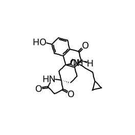 O=C1CC(=O)[C@@]2(CC[C@@]3(O)[C@H]4C(=O)c5ccc(O)cc5[C@@]3(CCN4CC3CC3)C2)N1